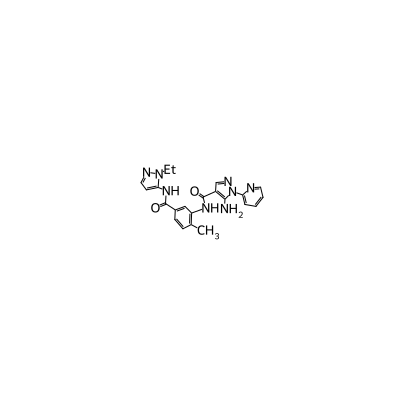 CCn1nccc1NC(=O)c1ccc(C)c(NC(=O)c2cnn(-c3ccccn3)c2N)c1